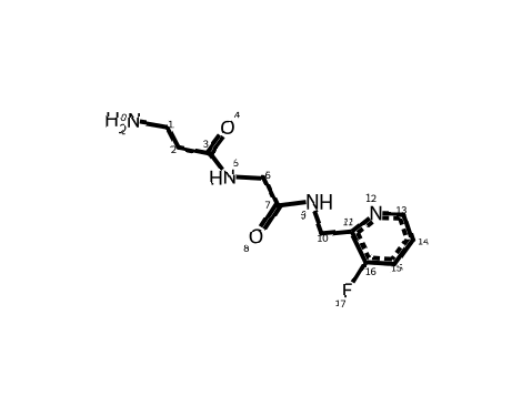 NCCC(=O)NCC(=O)NCc1ncccc1F